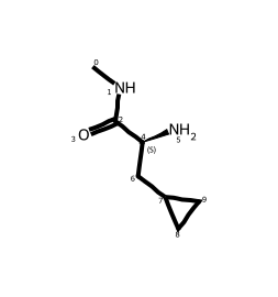 CNC(=O)[C@@H](N)CC1CC1